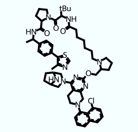 Cc1ncsc1-c1ccc(C(C)NC(=O)C2CCCN2C(=O)C(NC(=O)CCCCCCN2CCCC2COc2nc3c(c(N4CC5CCC(C4)N5)n2)CCN(c2cccc4cccc(Cl)c24)C3)C(C)(C)C)cc1